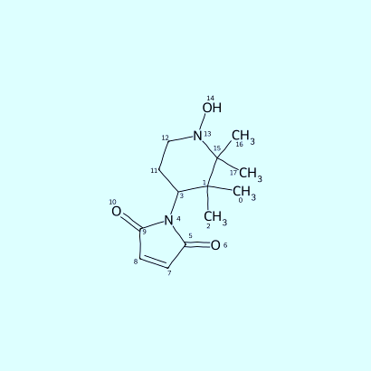 CC1(C)C(N2C(=O)C=CC2=O)CCN(O)C1(C)C